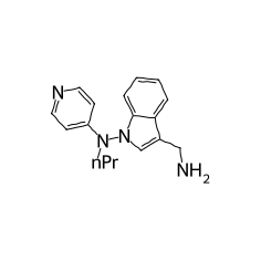 CCCN(c1ccncc1)n1cc(CN)c2ccccc21